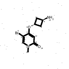 Cn1cc(Br)c(O[C@H]2C[C@H](N)C2)cc1=O